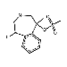 CC1(OS(C)(=O)=O)CNCC(Cl)c2ccccc21